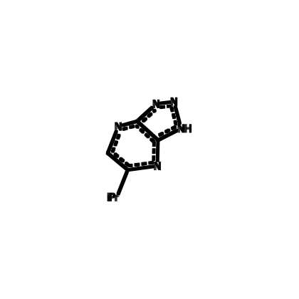 CC(C)c1cnc2nn[nH]c2n1